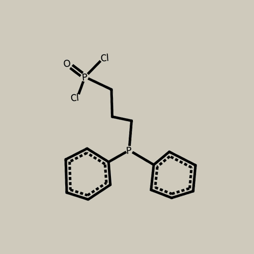 O=P(Cl)(Cl)CCCP(c1ccccc1)c1ccccc1